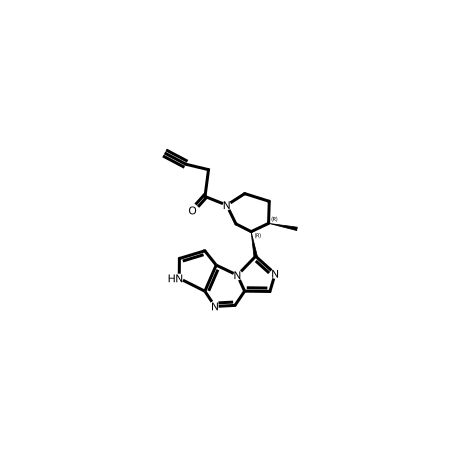 C#CCC(=O)N1CC[C@@H](C)[C@@H](c2ncc3cnc4[nH]ccc4n23)C1